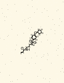 C=CC(=O)NCCCN(C)S(=O)(=O)c1ccc(OC2CCCC2)cc1